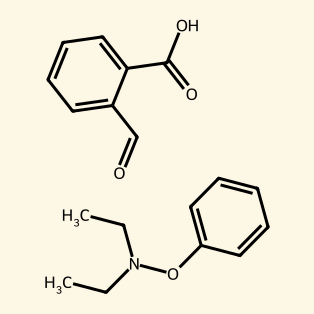 CCN(CC)Oc1ccccc1.O=Cc1ccccc1C(=O)O